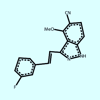 COc1c(C#N)ccc2[nH]nc(/C=C/c3cccc(F)c3)c12